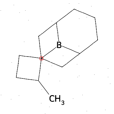 CC1CCC1B1C2CCCC1CCC2